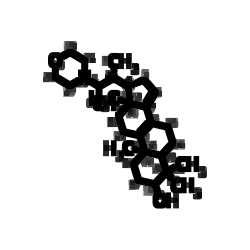 CC([C@@H](C)[C@H]1CC=C2C3=C(CC[C@@]21C)[C@@]1(C)CCC(O)C(C)(C)C1CC3)N1CCOCC1